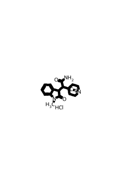 CN1C(=O)C(C(C(N)=O)C23CCN(CC2)CC3)c2ccccc21.Cl